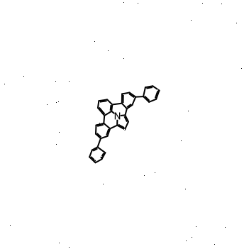 c1ccc(-c2ccc3c(c2)c2ccc4c5cc(-c6ccccc6)ccc5c5cccc3c5n24)cc1